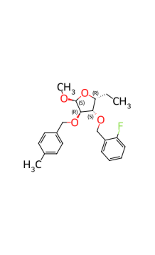 CC[C@H]1O[C@H](OC)[C@H](OCc2ccc(C)cc2)[C@H]1OCc1ccccc1F